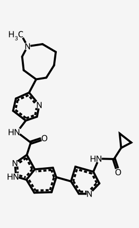 CN1CCCCC(c2ccc(NC(=O)c3n[nH]c4ccc(-c5cncc(NC(=O)C6CC6)c5)cc34)cn2)CC1